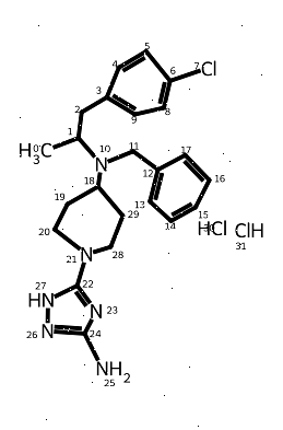 CC(Cc1ccc(Cl)cc1)N(Cc1ccccc1)C1CCN(c2nc(N)n[nH]2)CC1.Cl.Cl